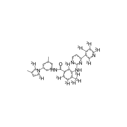 [2H]c1nc([2H])c(-c2ccnc(Nc3c([2H])c(C(=O)Nc4cc(C)cc(-n5c([2H])cc(C)c5[2H])c4)c([2H])c([2H])c3C([2H])([2H])[2H])n2)c([2H])c1[2H]